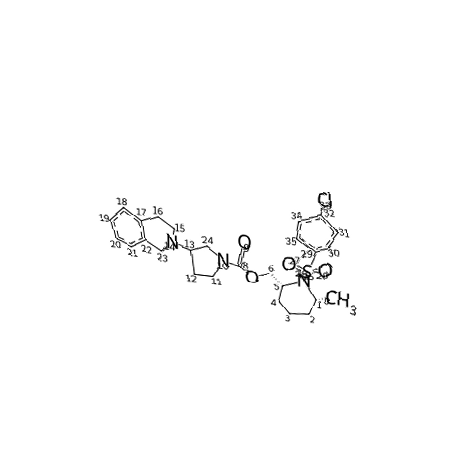 C[C@@H]1CCC[C@H](COC(=O)N2CCC(N3CCc4ccccc4C3)C2)N1S(=O)(=O)c1ccc(Cl)cc1